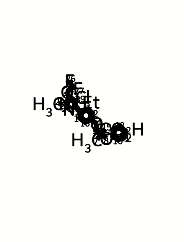 CCc1cc(OCC(C)(Oc2ccccc2)C(=O)O)ccc1-c1nn(C)c(OC(F)F)c1Cl